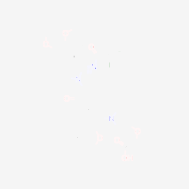 CCC(OC1CCN(c2cc(C(=O)CN3Cc4cc(OC)c(OC)c(F)c4/C3=N\C(=O)C(F)(F)F)cc(C(C)(C)C)c2OC)C1)C(=O)O